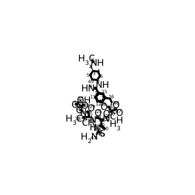 CNC[C@H]1CC[C@H](NC(=N)c2ccc3c(c2)CC[C@H]([C@](C)(O/N=C(\C(=O)N[C@@H]2C(=O)N(OS(=O)(=O)O)C2(C)C)c2csc(N)n2)C(=O)O)O3)CC1